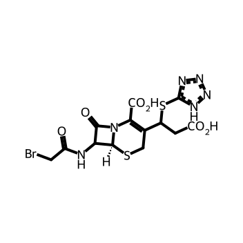 O=C(O)CC(Sc1nnn[nH]1)C1=C(C(=O)O)N2C(=O)C(NC(=O)CBr)[C@@H]2SC1